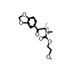 COCCOC(=O)N(C)[C@@H](C)C(=O)c1ccc2c(c1)OCO2